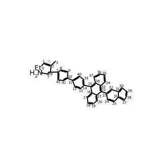 CC/C=C(C)\C(=C/N)c1ccc(-c2ccc(-c3c4ccccc4c(-c4ccc5ccccc5c4)c4ccccc34)cc2)cc1